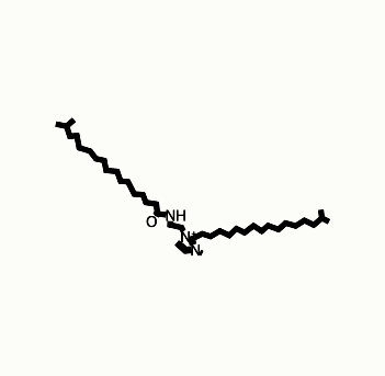 CC(C)CCCCCCCCCCCCCCC(=O)NCC[n+]1ccn(C)c1CCCCCCCCCCCCCCC(C)C